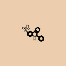 CC(C)S(=O)(=O)Nc1ccc2c(c1)C1C3CCC(C3)C1C(c1ccccc1)N2